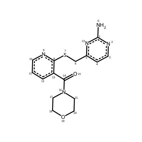 Nc1nccc(CSc2ncccc2C(=O)N2CCOCC2)n1